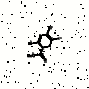 CCC1=CC(Cl)=C(I)C[C@H]1C(=O)OC